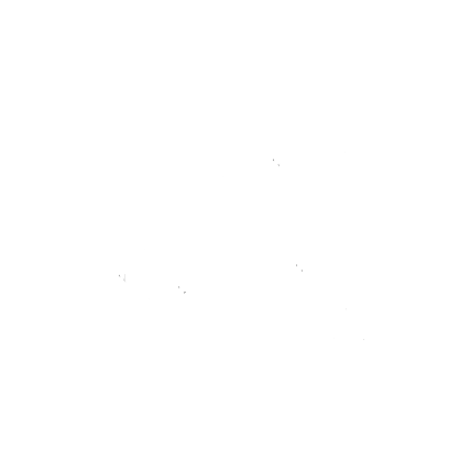 c1cc(N2CCOCC2)c(CNCC2CC2)cc1-c1cn2c(n1)CCC2